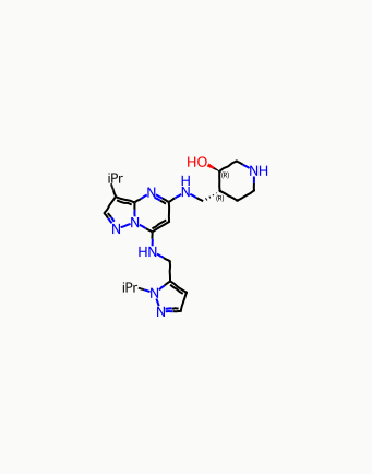 CC(C)c1cnn2c(NCc3ccnn3C(C)C)cc(NC[C@H]3CCNC[C@@H]3O)nc12